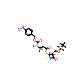 C[C@H](CC(=O)S[C@H]1NC(=O)[C@@H]1CO[Si](C)(C)C(C)(C)C)NC(=O)OCc1ccc([N+](=O)[O-])cc1